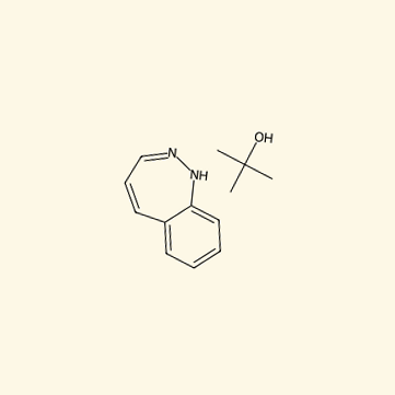 C1=Cc2ccccc2NN=C1.CC(C)(C)O